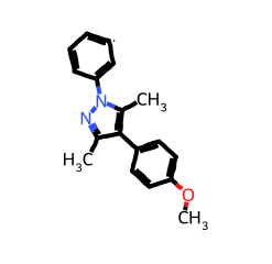 COc1ccc(-c2c(C)nn(-c3c[c]ccc3)c2C)cc1